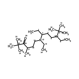 CCC(CCN(CC)C(C)(C)C)N(CC)CCC(C)C(=O)C(C)(C)C